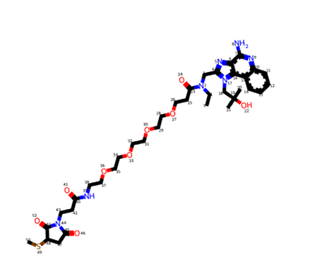 CCN(Cc1nc2c(N)nc3ccccc3c2n1CC(C)(C)O)C(=O)CCOCCOCCOCCOCCNC(=O)CCN1C(=O)CC(SC)C1=O